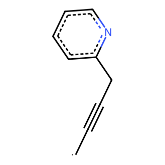 [CH2]C#CCc1ccccn1